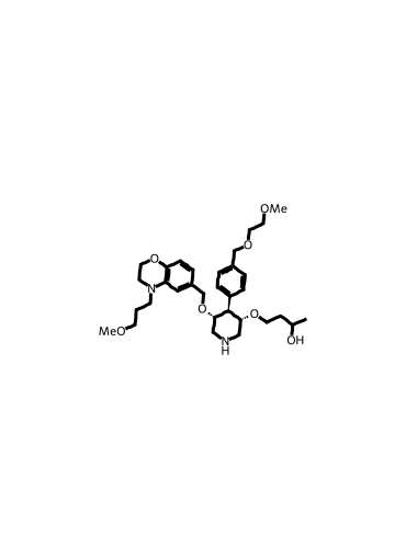 COCCCN1CCOc2ccc(CO[C@H]3CNC[C@@H](OCCC(C)O)[C@@H]3c3ccc(COCCOC)cc3)cc21